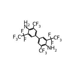 Nc1c(C(F)(F)F)cc(-c2cc(C(F)(F)F)c(N)c(C(F)(F)C(F)(F)F)c2)cc1C(F)(F)C(F)(F)F